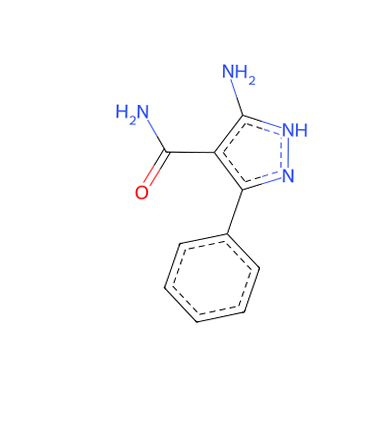 NC(=O)c1c(-c2ccccc2)n[nH]c1N